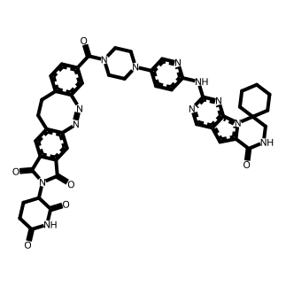 O=C1CCC(N2C(=O)c3cc4c(cc3C2=O)/N=N\c2cc(C(=O)N3CCN(c5ccc(Nc6ncc7cc8n(c7n6)C6(CCCCC6)CNC8=O)nc5)CC3)ccc2CC4)C(=O)N1